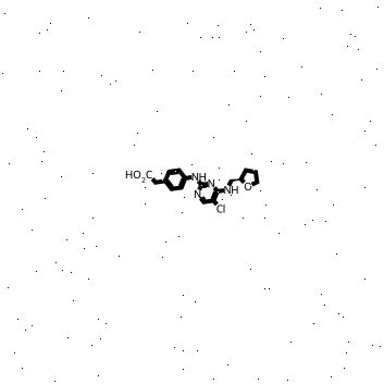 O=C(O)Cc1ccc(Nc2ncc(Cl)c(NC[C@H]3CCCO3)n2)cc1